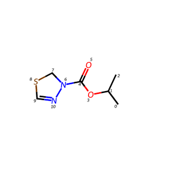 CC(C)OC(=O)N1CSC=N1